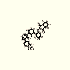 Cc1c(NC(=O)C2(c3ccc4c(c3)OCO4)CC2)cccc1-c1ccccc1CN1C(=O)c2ccccc2C1=O